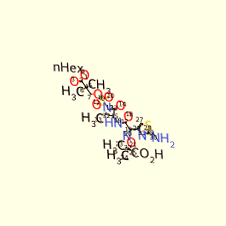 CCCCCCOC(=O)C(C)(C)COS(=O)(=O)N1C(=O)[C@@H](NC(=O)/C(=N/OC(C)(C)C(=O)O)c2csc(N)n2)[C@@H]1C